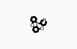 Clc1ccccc1P(c1cccnc1)c1ccccc1Cl